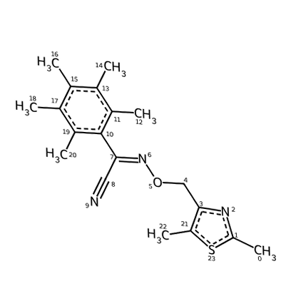 Cc1nc(CON=C(C#N)c2c(C)c(C)c(C)c(C)c2C)c(C)s1